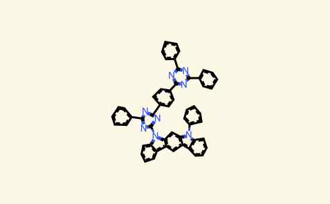 c1ccc(-c2nc(-c3ccccc3)nc(-c3ccc(-c4nc(-c5ccccc5)nc(-n5c6ccccc6c6cc7c8ccccc8n(-c8ccccc8)c7cc65)n4)cc3)n2)cc1